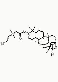 CC1(C)CC[C@]23CC[C@]4(C)C(CCC5[C@@]6(C)CC[C@H](OC(=O)C[N+](C)(C)CCO)C(C)(C)C6CC[C@]54C)C2[C@H]1O3